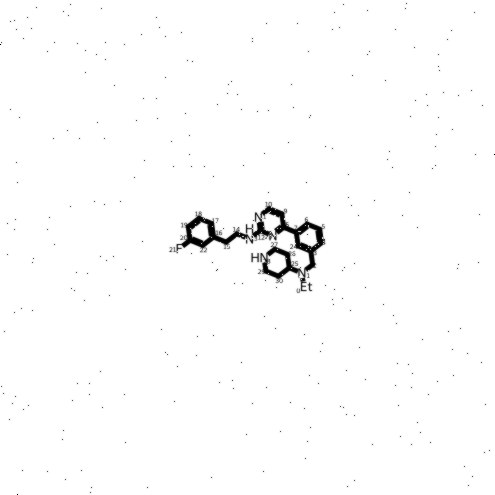 CCN(Cc1cccc(-c2ccnc(NCCc3cccc(F)c3)n2)c1)C1CCNCC1